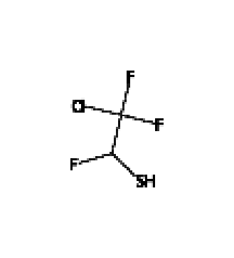 FC(S)C(F)(F)Cl